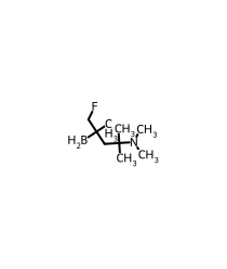 BC(C)(CF)CC(C)(C)N(C)C